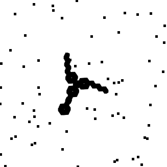 CCCCCCc1ccc(N(c2ccc(C#Cc3ccccc3)cc2)c2ccc(CCCCCC)cc2)cc1